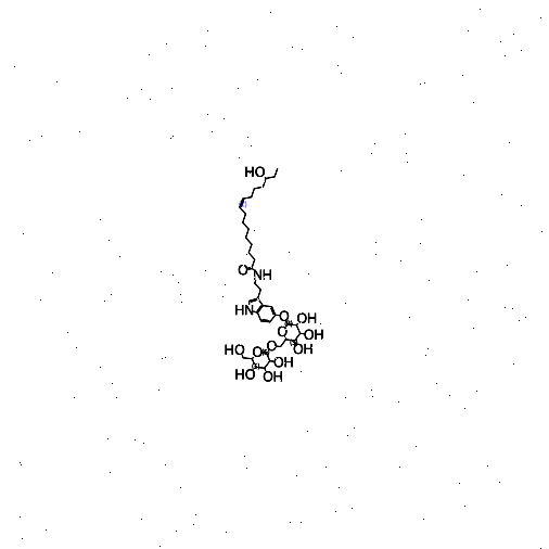 CCC(O)CCC/C=C\CCCCCCCC(=O)NCCc1c[nH]c2ccc(O[C@H]3OC(CO[C@H]4OC(CO)[C@@H](O)C(O)C4O)[C@@H](O)C(O)C3O)cc12